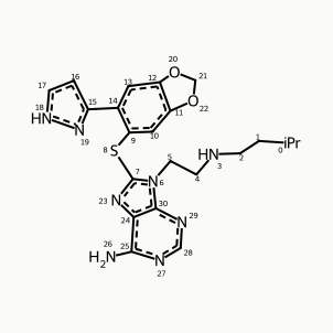 CC(C)CCNCCn1c(Sc2cc3c(cc2-c2cc[nH]n2)OCO3)nc2c(N)ncnc21